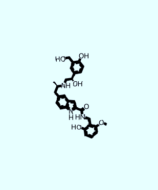 COc1cccc(O)c1CNC(=O)c1cc2cc(C[C@@H](C)NC[C@H](O)c3ccc(O)c(CO)c3)ccc2[nH]1